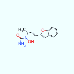 CC(C=Cc1cc2ccccc2o1)N(O)C(N)=O